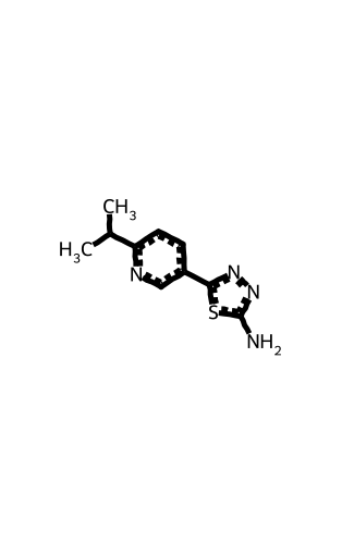 CC(C)c1ccc(-c2nnc(N)s2)cn1